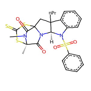 CCCC12CC34SC(=S)S[C@](C)(C(=O)N3[C@@H]1N(S(=O)(=O)c1ccccc1)c1ccccc12)N(C)C4=O